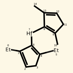 CCC1=CCC(CC)=[C]1[Hf][C]1=C(C)CC=C1C